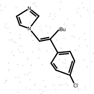 CCC(C)C(=Cn1ccnc1)c1ccc(Cl)cc1